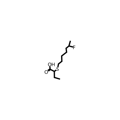 CCC(SCCCCCC(C)F)C(=O)O